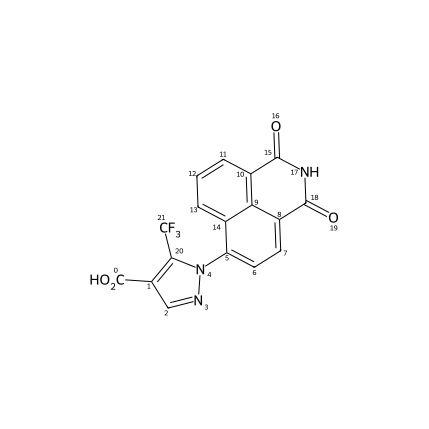 O=C(O)c1cnn(-c2ccc3c4c(cccc24)C(=O)NC3=O)c1C(F)(F)F